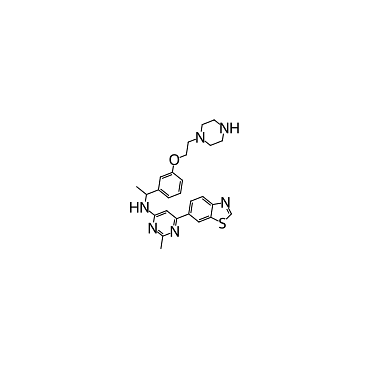 Cc1nc(NC(C)c2cccc(OCCN3CCNCC3)c2)cc(-c2ccc3ncsc3c2)n1